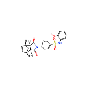 COc1ccccc1NS(=O)(=O)c1ccc(N2C(=O)[C@@H]3[C@H](C2=O)[C@@H]2C=C[C@H]3C2)cc1